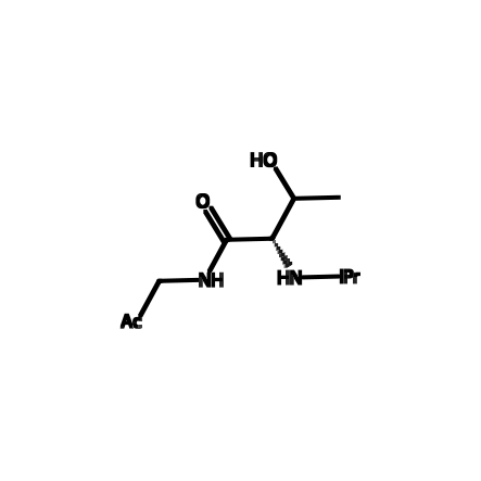 CC(=O)CNC(=O)[C@@H](NC(C)C)C(C)O